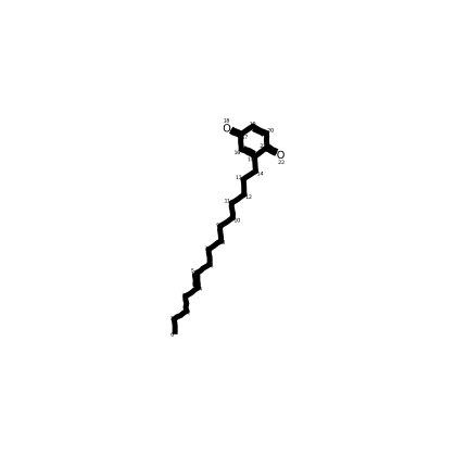 CCCCC=CCCCCCCCCCC1=CC(=O)C=CC1=O